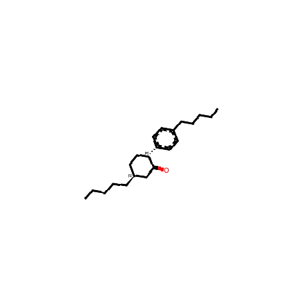 CCCCCc1ccc([C@H]2CC[C@H](CCCCC)CC2=O)cc1